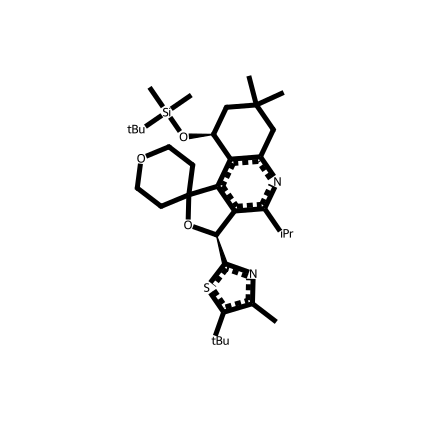 Cc1nc([C@H]2OC3(CCOCC3)c3c2c(C(C)C)nc2c3[C@@H](O[Si](C)(C)C(C)(C)C)CC(C)(C)C2)sc1C(C)(C)C